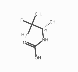 C[C@H](NC(=O)O)C(C)(C)F